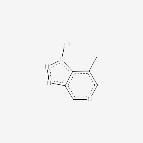 Cc1cncc2nnn(C(C)C)c12